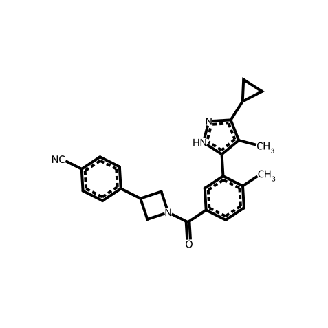 Cc1ccc(C(=O)N2CC(c3ccc(C#N)cc3)C2)cc1-c1[nH]nc(C2CC2)c1C